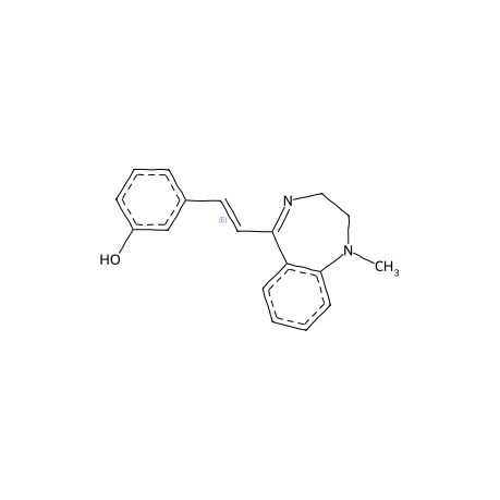 CN1CCN=C(/C=C/c2cccc(O)c2)c2ccccc21